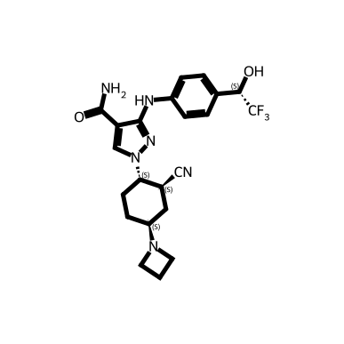 N#C[C@H]1C[C@@H](N2CCC2)CC[C@@H]1n1cc(C(N)=O)c(Nc2ccc([C@H](O)C(F)(F)F)cc2)n1